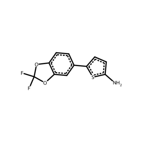 Nc1ccc(-c2ccc3c(c2)OC(F)(F)O3)s1